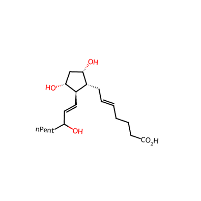 CCCCCC(O)C=C[C@@H]1[C@@H](CC=CCCCC(=O)O)[C@@H](O)C[C@H]1O